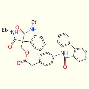 CCNC(=O)C(COC(=O)Cc1ccc(NC(=O)c2ccccc2-c2ccccc2)cc1)(C(=O)NCC)c1ccccc1